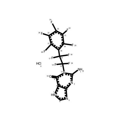 Cl.Nc1nc2nc[nH]c2c(=O)n1C(F)(F)C(F)(F)c1c(F)c(F)c(F)c(F)c1F